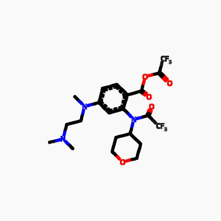 CN(C)CCN(C)c1ccc(C(=O)OC(=O)C(F)(F)F)c(N(C(=O)C(F)(F)F)C2CCOCC2)c1